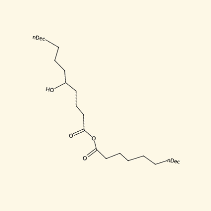 CCCCCCCCCCCCCCCC(=O)OC(=O)CCCC(O)CCCCCCCCCCCCC